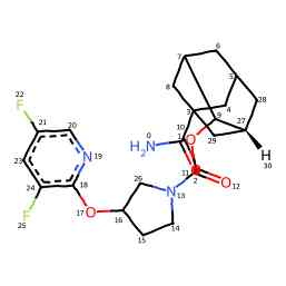 NC(=O)C12CC3CC(C1)C(OC(=O)N1CCC(Oc4ncc(F)cc4F)C1)[C@H](C3)C2